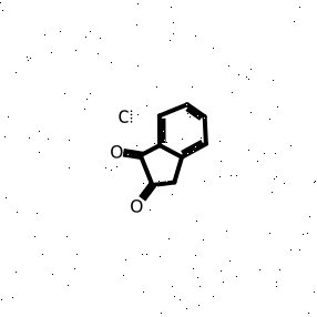 O=C1Cc2ccccc2C1=O.[C]